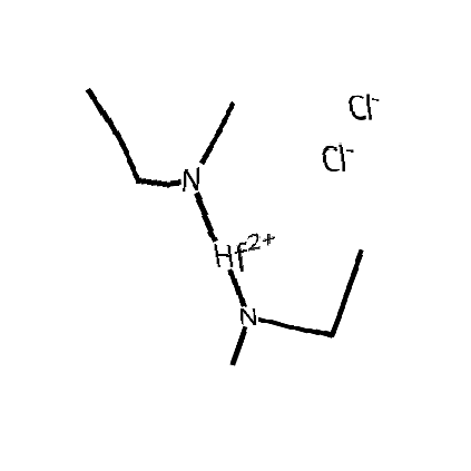 CC[N](C)[Hf+2][N](C)CC.[Cl-].[Cl-]